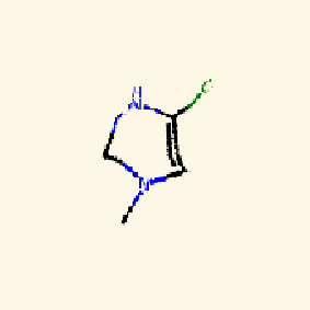 CN1[C]=C(Cl)NC1